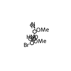 COc1cc(C(=O)NS(=O)(=O)c2cc(Br)ccc2OC)ccc1Cn1cccn1